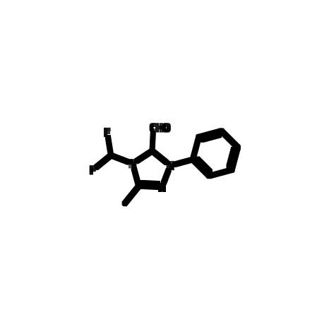 CC1=NN(c2ccccc2)C(C=O)N1C(F)F